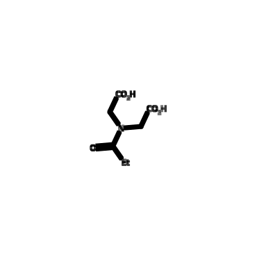 CCC(=O)N(CC(=O)O)CC(=O)O